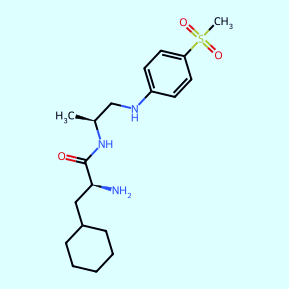 C[C@@H](CNc1ccc(S(C)(=O)=O)cc1)NC(=O)[C@@H](N)CC1CCCCC1